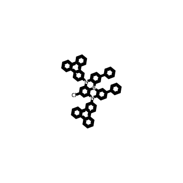 Clc1cc2c3c(c1)N(c1ccc4c5ccccc5c5ccccc5c4c1)c1ccc(-c4ccccc4)cc1B3c1cc(-c3ccccc3)ccc1N2c1ccc2c3ccccc3c3ccccc3c2c1